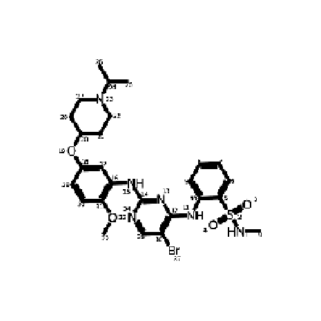 CNS(=O)(=O)c1ccccc1Nc1nc(Nc2cc(OC3CCN(C(C)C)CC3)ccc2OC)ncc1Br